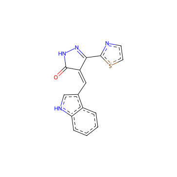 O=C1NN=C(c2nccs2)/C1=C/c1c[nH]c2ccccc12